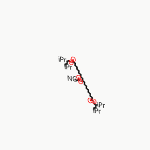 CC(C)CCC(COC(=O)CCCCCCCCCC(CCCCCCCCCC(=O)OCC(CCC(C)C)C(C)C)OC(=O)CC#N)C(C)C